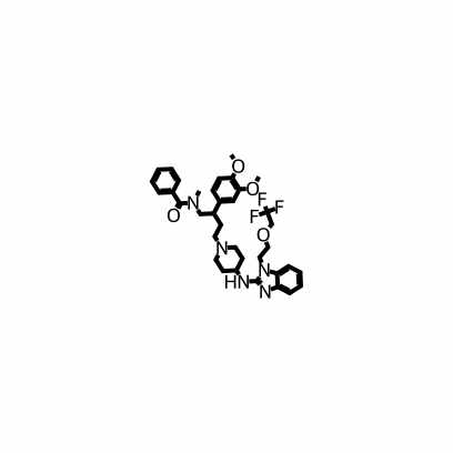 COc1ccc(C(CCN2CCC(Nc3nc4ccccc4n3CCOCC(F)(F)F)CC2)CN(C)C(=O)c2ccccc2)cc1OC